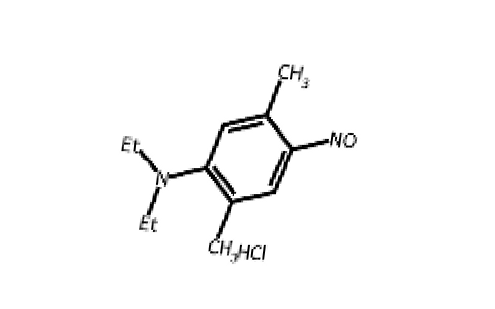 CCN(CC)c1cc(C)c(N=O)cc1C.Cl